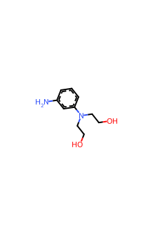 Nc1cccc(N(CCO)CCO)c1